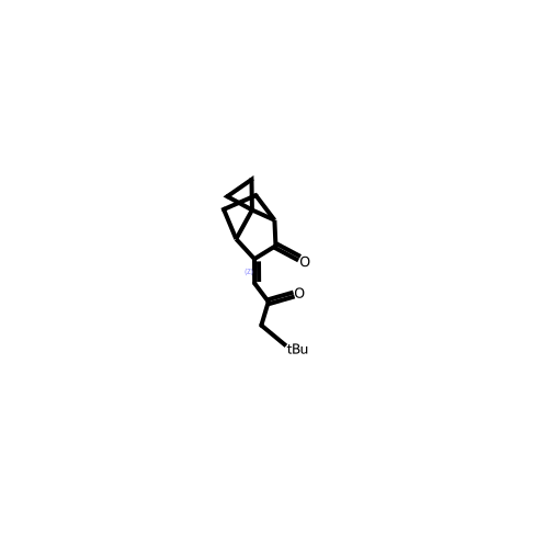 CC(C)(C)CC(=O)/C=C1\C(=O)C2CCC1C21CC1